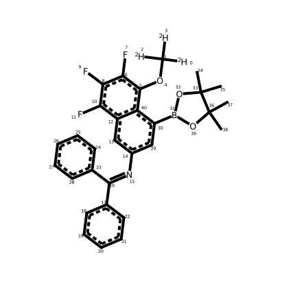 [2H]C([2H])([2H])Oc1c(F)c(F)c(F)c2cc(N=C(c3ccccc3)c3ccccc3)cc(B3OC(C)(C)C(C)(C)O3)c12